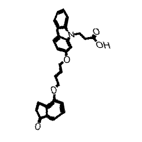 O=C(O)CCn1c2ccccc2c2ccc(OCCCCOc3cccc4c3CCC4=O)cc21